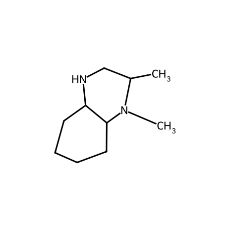 CC1CNC2CCCCC2N1C